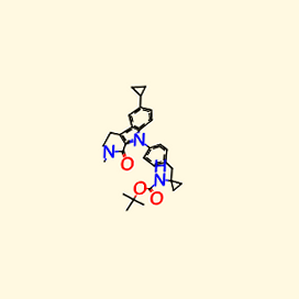 CN1CCc2c(n(-c3ccc(CC4(NC(=O)OC(C)(C)C)CC4)cc3)c3ccc(C4CC4)cc23)C1=O